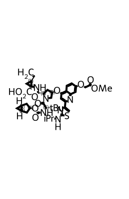 C=C[C@@H]1C[C@]1(NC(=O)[C@@H]1C[C@@H](Oc2cc(-c3csc(NC(C)C)n3)nc3cc(OCC(=O)OC)ccc23)CN1C(=O)[C@@H](NC(=O)O[C@@H]1C[C@@H]2C[C@@H]2C1)C(C)(C)C)C(=O)O